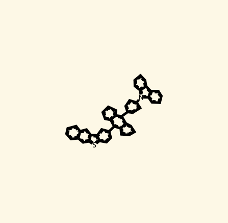 c1ccc2cc3c(cc2c1)sc1ccc(-c2c4ccccc4c(-c4ccc(-n5c6ccccc6c6ccccc65)cc4)c4ccccc24)cc13